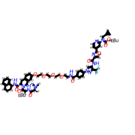 C[C@@H](C(=O)N[C@H](C(=O)N1Cc2cc(OCCOCCOCCOCCNC(=O)c3ccc(-n4cc(NC(=O)c5coc(-c6ccnc(N(CC7CC7)C(=O)OC(C)(C)C)c6)n5)c(C(F)F)n4)cc3)ccc2C[C@H]1C(=O)N[C@@H]1CCCc2ccccc21)C(C)(C)C)N(C)C